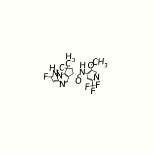 COc1cnc(C(F)(F)F)cc1NC(=O)[C@H]1CC(C)(C)c2c1cnc1cc(F)nn21